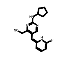 N#CCc1nc(NC2CCCC2)ncc1C=C1C=CC=C(Br)N1